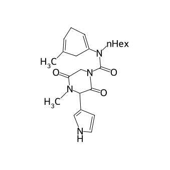 CCCCCCN(C(=O)N1CC(=O)N(C)C(c2cc[nH]c2)C1=O)C1=CCC=C(C)C1